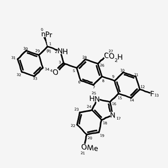 CCC[C@@H](NC(=O)c1ccc(-c2ccc(F)cc2-c2nc3cc(OC)ccc3[nH]2)c(C(=O)O)c1)c1ccccc1